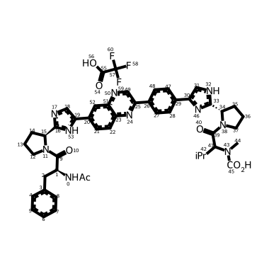 CC(=O)N[C@@H](Cc1ccccc1)C(=O)N1CCC[C@H]1c1ncc(-c2ccc3nc(-c4ccc(-c5c[nH]c([C@@H]6CCCN6C(=O)C(C(C)C)N(C)C(=O)O)n5)cc4)cnc3c2)[nH]1.O=C(O)C(F)(F)F